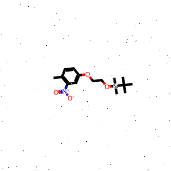 Cc1ccc(OCCO[Si](C)(C)C(C)(C)C)cc1[N+](=O)[O-]